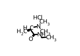 C=CC(=O)NCC.CN(C)C.Cl